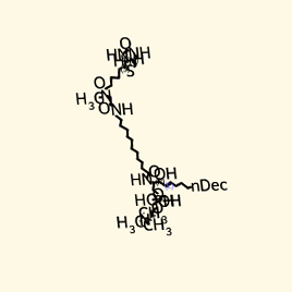 CCCCCCCCCCCCC/C=C/[C@@H](O)C(CO[PH](O)(O)OCC[N+](C)(C)C)NC(=O)CCCCCCCCCCCNC(=O)CN(C)C(=O)CCCC[C@@H]1SC[C@H]2NC(=O)N[C@@H]12